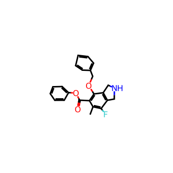 Cc1c(F)c2c(c(OCc3ccccc3)c1C(=O)Oc1ccccc1)CNC2